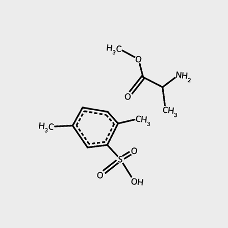 COC(=O)C(C)N.Cc1ccc(C)c(S(=O)(=O)O)c1